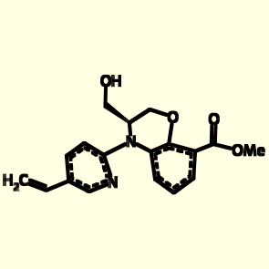 C=Cc1ccc(N2c3cccc(C(=O)OC)c3OC[C@@H]2CO)nc1